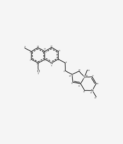 Cc1cc(Cl)c2nc(CCN3C=C4CN(C)C=CS4(C)C3)ccc2c1